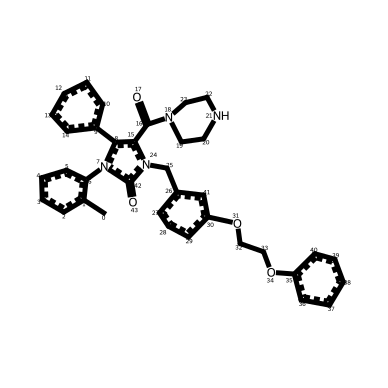 Cc1ccccc1-n1c(-c2ccccc2)c(C(=O)N2CCNCC2)n(Cc2cccc(OCCOc3ccccc3)c2)c1=O